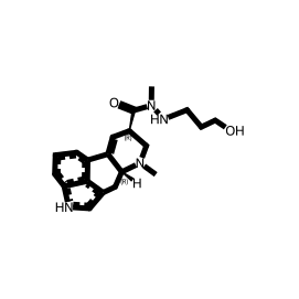 CN(NCCCO)C(=O)[C@@H]1C=C2c3cccc4[nH]cc(c34)C[C@H]2N(C)C1